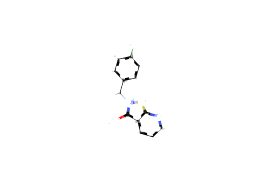 O=c1c2cccnc2sn1Cc1ccc(Cl)cc1